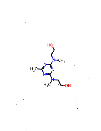 Cc1nc(N(C)CCO)nc(N(C)CCO)n1